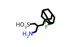 NCC(CC12CC3CC(C1)C(F)(F)C(C3)C2)CS(=O)(=O)O